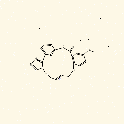 COc1ccc2c(c1)C(=O)Nc1cccc(n1)-c1nncn1CC/C=C/CO2